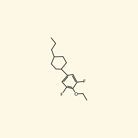 CCCC1CCC(c2cc(F)c(OCC)c(F)c2)CC1